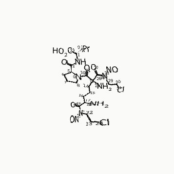 CC(C)[C@H](NC(=O)[C@@H]1CCCN1C(=O)[C@@](N)(CCCC(N)C(=O)N(CCCl)N=O)C(=O)N(CCCl)N=O)C(=O)O